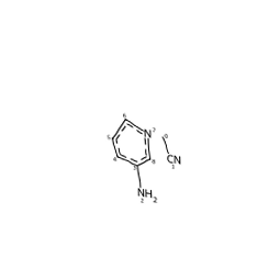 CC#N.Nc1cccnc1